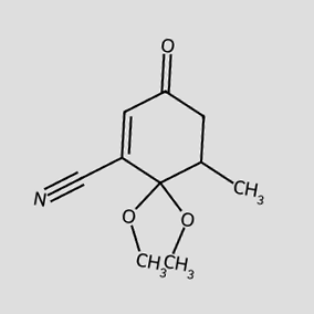 COC1(OC)C(C#N)=CC(=O)CC1C